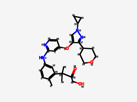 Cc1ccc(Nc2cc(Oc3cn(C4CC4)nc3C3CCOCC3)ccn2)cc1C(C)(C)C(=O)CO